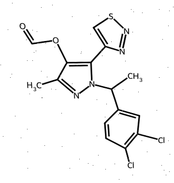 Cc1nn(C(C)c2ccc(Cl)c(Cl)c2)c(-c2csnn2)c1OC=O